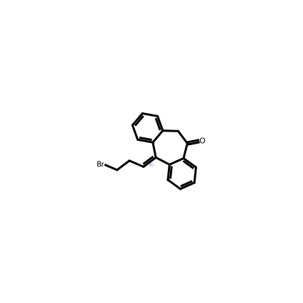 O=C1Cc2ccccc2/C(=C\CCBr)c2ccccc21